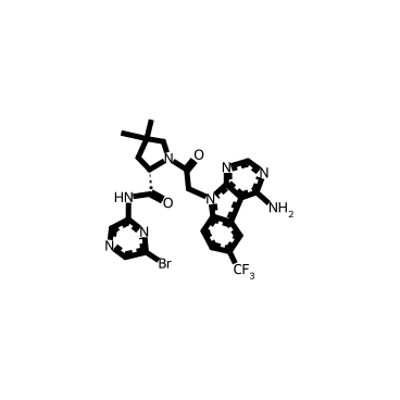 CC1(C)C[C@@H](C(=O)Nc2cncc(Br)n2)N(C(=O)Cn2c3ccc(C(F)(F)F)cc3c3c(N)ncnc32)C1